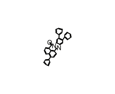 O=c1c2cccc3c(-c4ccccc4)ccc(c32)c2nc3cc(-c4ccccc4)c(-c4ccccc4)cc3n12